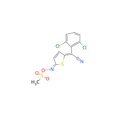 CS(=O)(=O)ON=C1C=C/C(=C(/C#N)c2c(Cl)cccc2Cl)S1